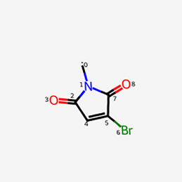 [CH2]N1C(=O)C=C(Br)C1=O